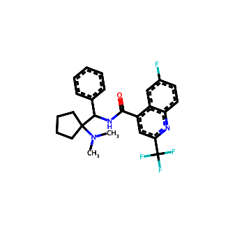 CN(C)C1(C(NC(=O)c2cc(C(F)(F)F)nc3ccc(F)cc23)c2ccccc2)CCCC1